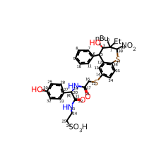 CCCCC1(CC)C(O)C(c2ccccc2)c2cc(SCC(=O)N[C@@H](C(=O)NCCS(=O)(=O)O)c3ccc(O)cc3)ccc2SC1[N+](=O)[O-]